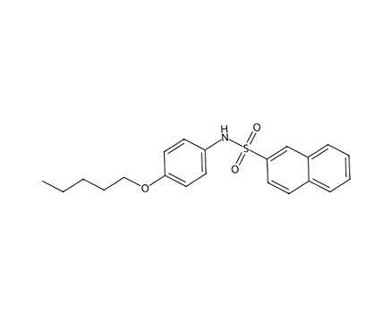 CCCCCOc1ccc(NS(=O)(=O)c2ccc3ccccc3c2)cc1